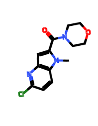 Cn1c(C(=O)N2CCOCC2)cc2nc(Cl)ccc21